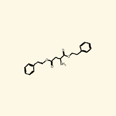 NC(CC(=O)OCCc1ccccc1)C(=O)OCCc1ccccc1